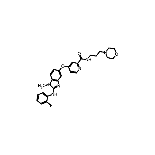 Cn1c(Nc2ccccc2F)nc2cc(Oc3ccnc(C(=O)NCCCN4CCOCC4)c3)ccc21